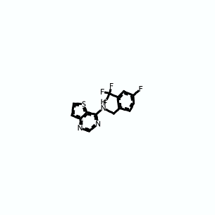 Fc1ccc(CNc2ncnc3ccsc23)c(C(F)(F)F)c1